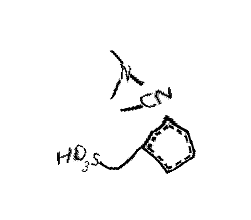 CC#N.CN(C)C.O=S(=O)(O)Cc1ccccc1